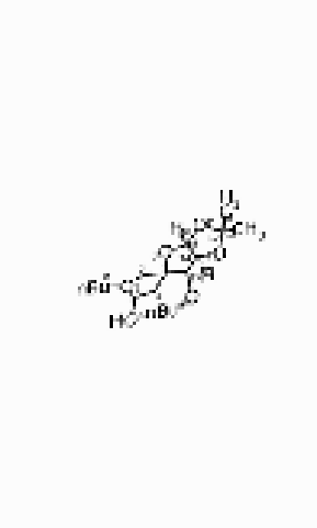 CCCCOC[C@@]1(CCO)O[C@@H]2OC(C)(C)O[C@H]2C1OCCCC